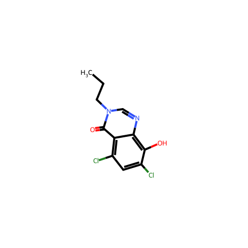 CCCn1cnc2c(O)c(Cl)cc(Cl)c2c1=O